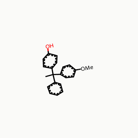 COc1ccc(C(C)(c2ccccc2)c2ccc(O)cc2)cc1